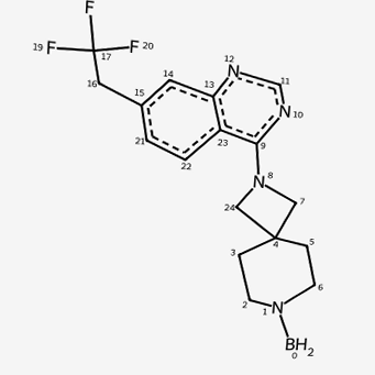 BN1CCC2(CC1)CN(c1ncnc3cc(CC(F)(F)F)ccc13)C2